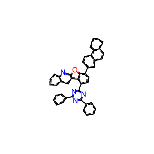 c1ccc(-c2nc(-c3ccccc3)nc(-c3ccc(-c4ccc5c(ccc6ccccc65)c4)c4oc5nc6ccccc6cc5c34)n2)cc1